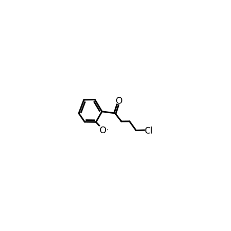 [O]c1ccccc1C(=O)CCCCl